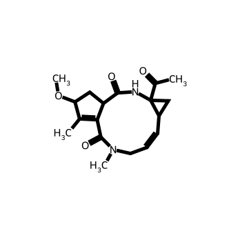 COC1CC2C(=O)NC3(C(C)=O)CC3/C=C\CN(C)C(=O)C2=C1C